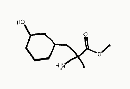 COC(=O)C(C)(N)CC1CCCC(O)C1